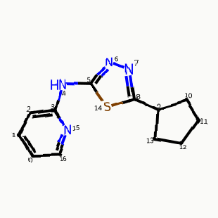 c1ccc(Nc2nnc(C3CCCC3)s2)nc1